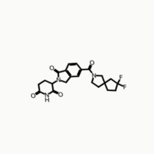 O=C1CCC(N2Cc3cc(C(=O)N4CCC5(CCC(F)(F)C5)C4)ccc3C2=O)C(=O)N1